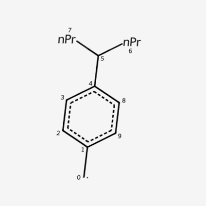 [CH2]c1ccc(C(CCC)CCC)cc1